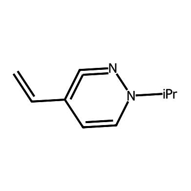 C=CC1=C=NN(C(C)C)C=C1